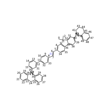 CC1(C)c2cc(/C=C/c3ccc(-c4cccc(N5c6ccccc6Cc6ccccc65)c4)cc3)ccc2-c2ccc(N3CCCc4ccccc43)cc21